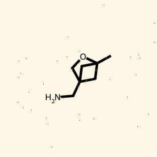 CC12CC(CN)(CO1)C2